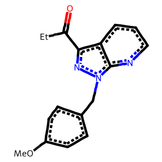 CCC(=O)c1nn(Cc2ccc(OC)cc2)c2ncccc12